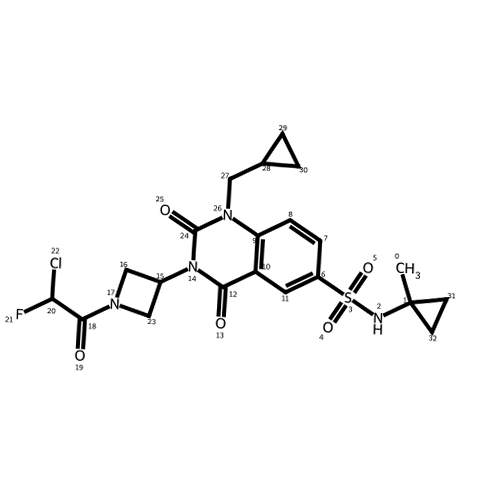 CC1(NS(=O)(=O)c2ccc3c(c2)c(=O)n(C2CN(C(=O)C(F)Cl)C2)c(=O)n3CC2CC2)CC1